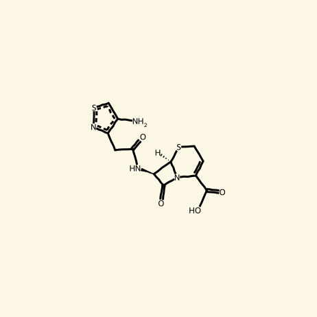 Nc1csnc1CC(=O)N[C@@H]1C(=O)N2C(C(=O)O)=CCS[C@H]12